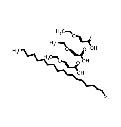 CCCCCCCCCCCCCCCCCC[Si].CCOC=CC(=O)O.CCOC=CC(=O)O.CCOC=CC(=O)O